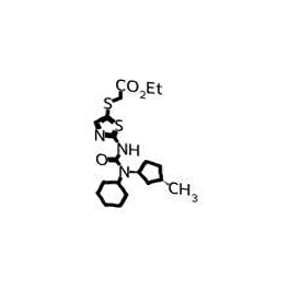 CCOC(=O)CSc1cnc(NC(=O)N(C2CCCCC2)[C@H]2CC[C@H](C)C2)s1